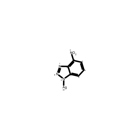 O=[N+]([O-])c1cccc2c1nn[n]2[Ag]